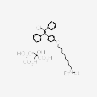 CCN(CC)CCCCCCCCOc1ccc(/C(=C(/Cl)c2ccccc2)c2ccccc2)cc1.O=C(O)CC(O)(CC(=O)O)C(=O)O